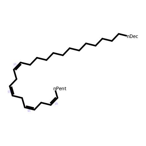 CCCCC/C=C\C/C=C\C/C=C\C/C=C\CCCCCCCCCCCCCCCCCCCCCC